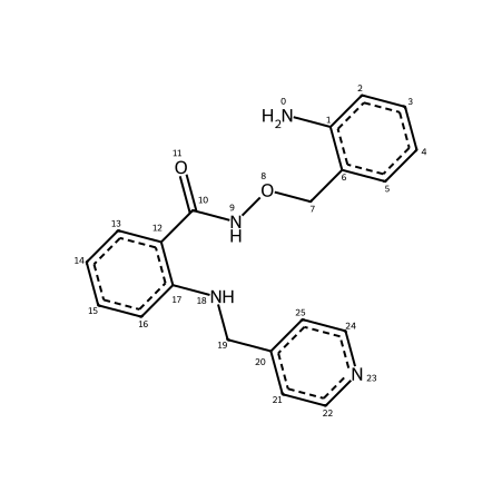 Nc1ccccc1CONC(=O)c1ccccc1NCc1ccncc1